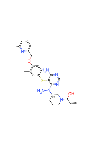 C=CC(O)N1CCC[C@@H](N(N)c2ncnc(N)c2Sc2ccc(OCc3cccc(C)n3)c(C)c2)C1